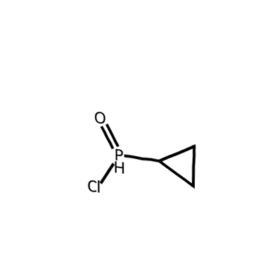 O=[PH](Cl)C1CC1